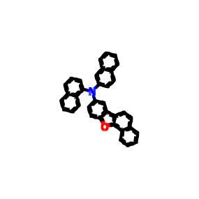 c1ccc2cc(N(c3ccc4oc5c6ccccc6ccc5c4c3)c3cccc4ccccc34)ccc2c1